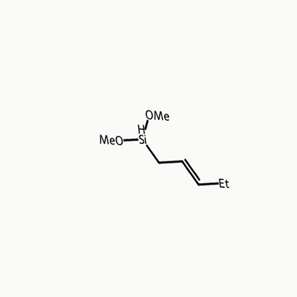 CCC=CC[SiH](OC)OC